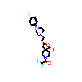 O=C(C(F)F)N1CCC2(CC1)C[C@H](CCN1CCN(c3ccc(F)cc3)CC1)OC2=O